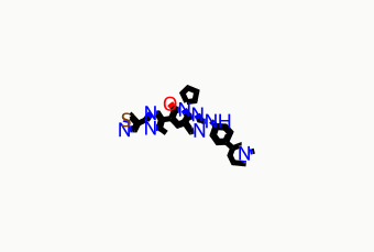 Cc1nc(-c2cnsc2)ncc1-c1cc2cnc(Nc3ccc(C4CCCN(C)C4)cc3)nc2n(C2CCCC2)c1=O